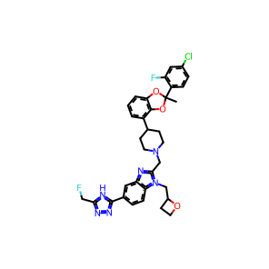 CC1(c2ccc(Cl)cc2F)Oc2cccc(C3CCN(Cc4nc5cc(-c6nnc(CF)[nH]6)ccc5n4CC4CCO4)CC3)c2O1